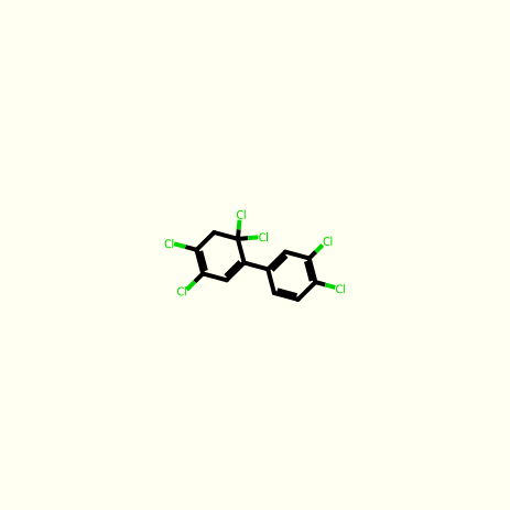 ClC1=C(Cl)CC(Cl)(Cl)C(c2ccc(Cl)c(Cl)c2)=C1